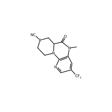 CN1C(=O)C2CB(C#N)CCN2c2ncc(C(F)(F)F)cc21